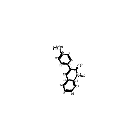 Cn1c(=O)c(-c2ccc(O)cc2)cc2ccccc21